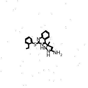 CCc1ccccc1Sc1nc(C2(C)C=C(N)NN2)c2ccccc2n1